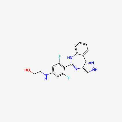 OCCNc1cc(F)c(C2=Nc3c[nH]nc3-c3ccccc3N2)c(F)c1